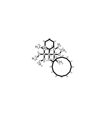 CO[Si](OC)(OC)[Si](OC1CCCCCCCCCCC1)(C1CCCCO1)[Si](OC)(OC)OC